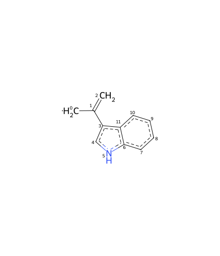 [CH2]C(=C)c1c[nH]c2ccccc12